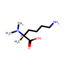 CN(C)[C@](C)(CCCCN)C(=O)O